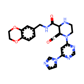 O=C=C1C(C(=O)NCc2ccc3c(c2)OCCO3)NCCN1c1cc(-n2ccnc2)ncn1